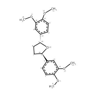 COc1ccc([C@H]2CC[C@H](c3ccc(OC)c(OC)c3)O2)cc1OC